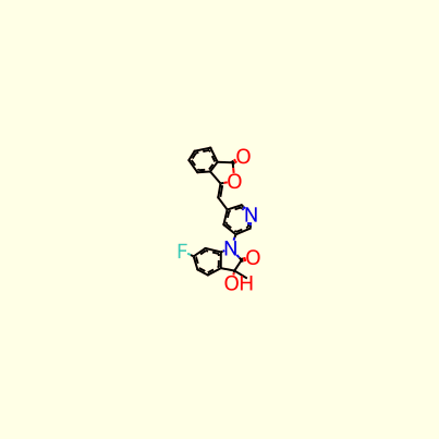 CC1(O)C(=O)N(c2cncc(C=C3OC(=O)c4ccccc43)c2)c2cc(F)ccc21